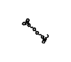 C/C=C\C=C(/C)N(C1=CCCC=C1)c1ccc(/C=C/c2ccc(-c3ccc(/C=C/c4ccc(N(c5ccccc5)c5ccccc5)cc4)cc3)cc2)cc1